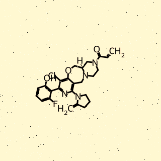 C=CC(=O)N1CCN2Cc3c(N4CCCC4=C)nc(-c4c(O)cccc4F)c(Cl)c3OC[C@H]2C1